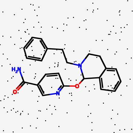 NC(=O)c1ccc(OC2c3ccccc3CCN2CCc2ccccc2)nc1